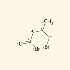 CC(CBr)CC(=O)Br